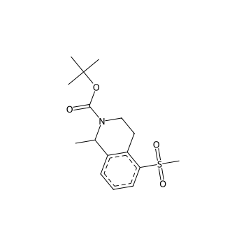 CC1c2cccc(S(C)(=O)=O)c2CCN1C(=O)OC(C)(C)C